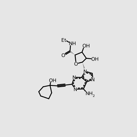 CCNC(=O)[C@H]1O[C@@H](n2cnc3c(N)nc(C#CC4(O)CCCCC4)nc32)C(O)C1O